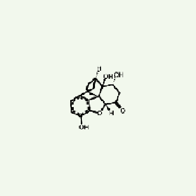 O=C1C[C@@H](O)C2(O)[C@@H]3CCC[C@@]24c2c(ccc(O)c2O[C@@H]14)C3